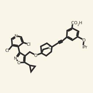 CC(C)Oc1cc(C#CC23CCC(OCc4c(-c5c(Cl)cncc5Cl)noc4C4CC4)(CC2)CC3)cc(C(=O)O)c1